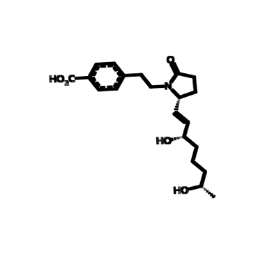 C[C@H](O)CCC[C@H](O)/C=C/[C@H]1CCC(=O)N1CCc1ccc(C(=O)O)cc1